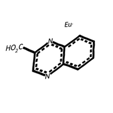 O=C(O)c1cnc2ccccc2n1.[Eu]